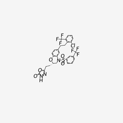 O=c1[nH]nc(CC[C@H]2CN(S(=O)(=O)c3cccc(C(F)(F)F)c3)c3cc(CCc4c(Cl)cccc4C(F)(F)F)ccc3O2)o1